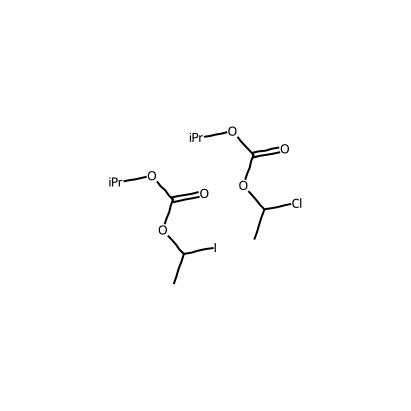 CC(C)OC(=O)OC(C)Cl.CC(C)OC(=O)OC(C)I